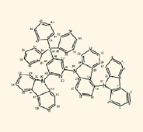 c1ccc2c(c#1)c1ccccc1n2-c1cccc2c1c1ccccc1n2-c1cc(S(c2ccccc2)(c2ccccc2)c2ccccc2)cc(-n2c3ccccc3c3ccccc32)n1